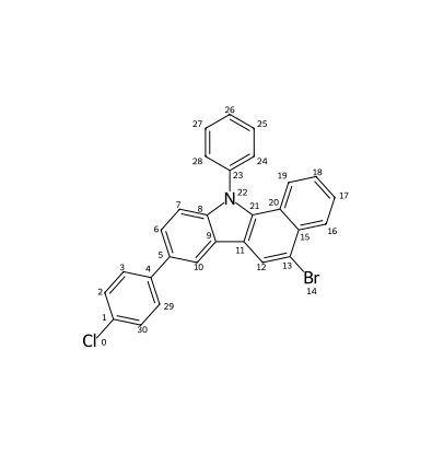 Clc1ccc(-c2ccc3c(c2)c2cc(Br)c4ccccc4c2n3-c2ccccc2)cc1